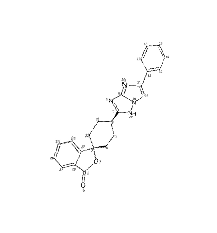 O=C1O[C@]2(CC[C@H](c3nc4nc(-c5ccccc5)cn4[nH]3)CC2)c2ccccc21